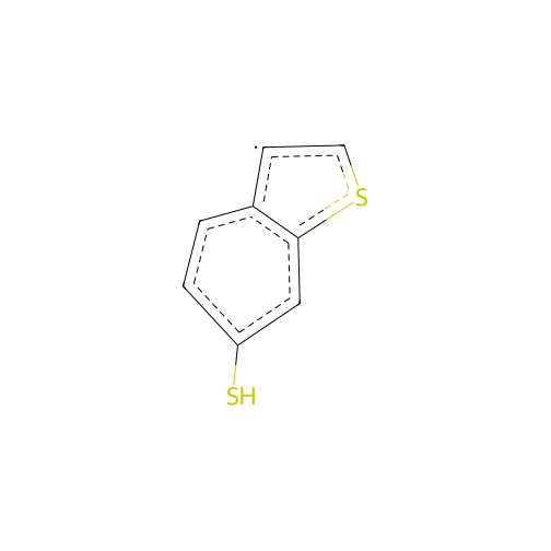 Sc1ccc2[c]csc2c1